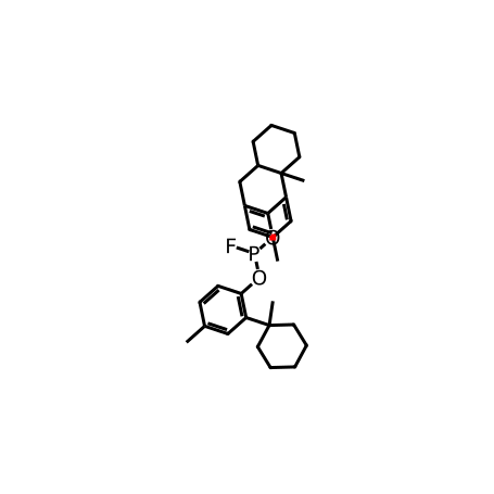 Cc1ccc(OP(F)Oc2c3cc(C)cc2C2(C)CCCCC2C3)c(C2(C)CCCCC2)c1